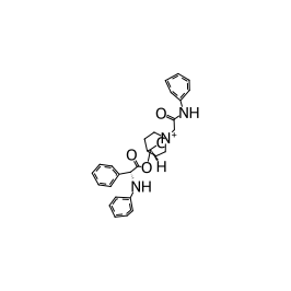 O=C(C[N+]12CCC(CC1)[C@@H](OC(=O)[C@H](Nc1ccccc1)c1ccccc1)C2)Nc1ccccc1